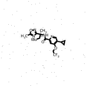 Cc1nc([C@](C)(CC(C)(C)C)NC(=O)c2cc(OCC(F)(F)F)c(C3CC3)cn2)no1